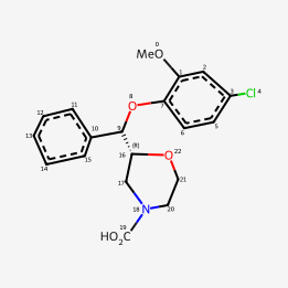 COc1cc(Cl)ccc1OC(c1ccccc1)[C@H]1CN(C(=O)O)CCO1